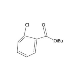 CC(C)COC(=O)c1ccccc1Cl